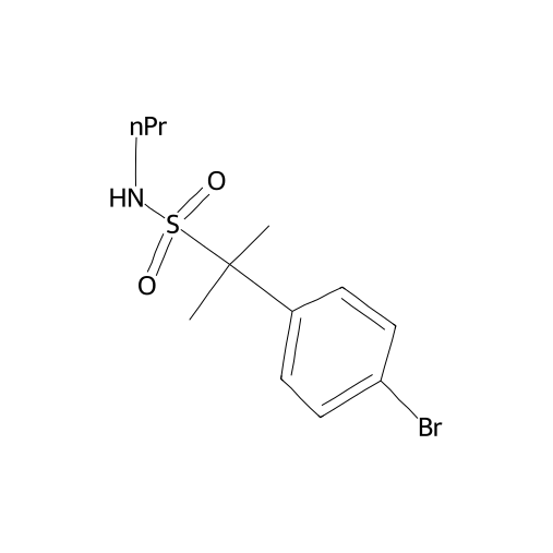 CCCNS(=O)(=O)C(C)(C)c1ccc(Br)cc1